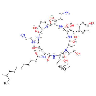 CC(=O)O.CC(=O)O.CCC(C)CC(C)CCCCCCCCC(=O)NC1CC(O)C(NCCN)NC(=O)C2C(O)CCN2C(=O)C(C(O)CCN)NC(=O)C(C(O)C(O)c2ccc(O)cc2)NC(=O)C2CC(O)CN2C(=O)C(C(C)O)NC1=O